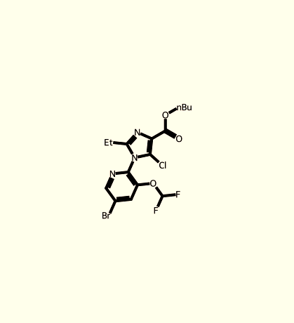 CCCCOC(=O)c1nc(CC)n(-c2ncc(Br)cc2OC(F)F)c1Cl